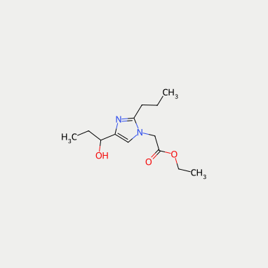 CCCc1nc(C(O)CC)cn1CC(=O)OCC